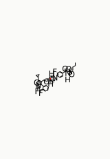 CCCCS(=O)(=O)NC(=O)c1ccc(N2C[C@@H]3C[C@H]2C[C@H]3OCc2c(-c3ccccc3C(F)(F)F)noc2C2CC2)c(F)c1